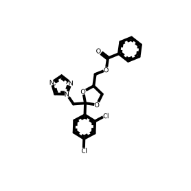 O=C(OCC1COC(Cn2cncn2)(c2ccc(Cl)cc2Cl)O1)c1ccccc1